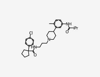 Cc1ccc(NC(=O)C(C)C)cc1C1CCN(CCCNC(=O)C2(c3ccc(Cl)cc3)CCCC2)CC1